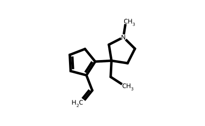 C=CC1=C(C2(CC)CCN(C)C2)CC=C1